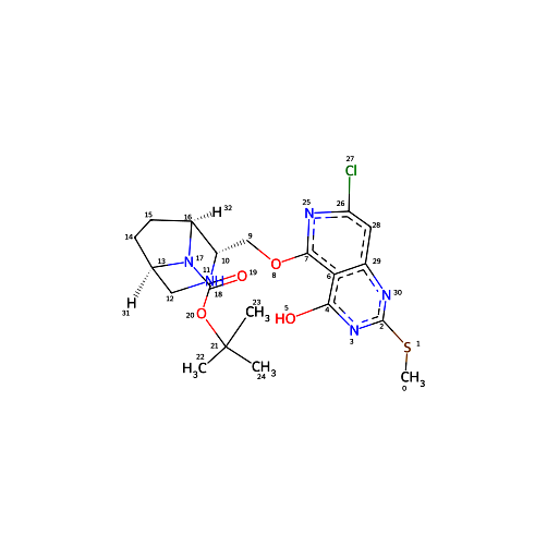 CSc1nc(O)c2c(OC[C@@H]3NC[C@H]4CC[C@@H]3N4C(=O)OC(C)(C)C)nc(Cl)cc2n1